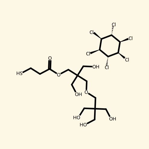 Cl[C@H]1[C@H](Cl)[C@@H](Cl)[C@@H](Cl)[C@H](Cl)[C@H]1Cl.O=C(CCS)OCC(CO)(CO)COCC(CO)(CO)CO